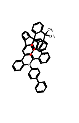 CC1(C)c2ccccc2C2(c3ccccc3-c3cc(-c4ccccc4N(c4ccc(-c5ccccc5)cc4)c4cc5ccccc5c5ccccc45)ccc32)c2ccccc21